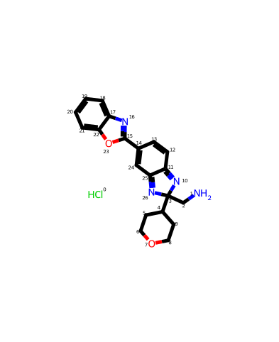 Cl.NCC1(C2CCOCC2)N=c2ccc(-c3nc4ccccc4o3)cc2=N1